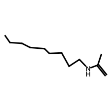 C=C(C)NCCCCCCCCC